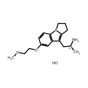 COCCOc1ccc2c(c1)c(C[C@H](C)N)c1n2CCC1.Cl